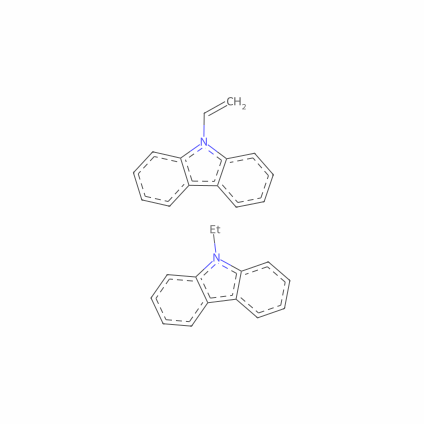 C=Cn1c2ccccc2c2ccccc21.CCn1c2ccccc2c2ccccc21